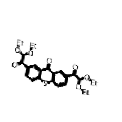 CCOC(OCC)C(=O)c1ccc2sc3ccc(C(=O)C(OCC)OCC)cc3c(=O)c2c1